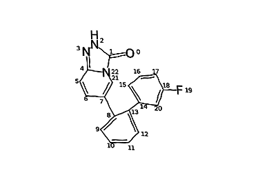 O=c1[nH]nc2ccc(-c3ccccc3-c3cccc(F)c3)cn12